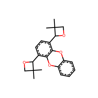 CC1(C)COC1c1ccc(C2OCC2(C)C)c2c1Oc1ccccc1O2